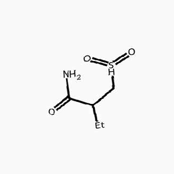 CCC(C[SH](=O)=O)C(N)=O